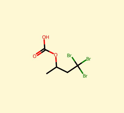 CC(CC(Br)(Br)Br)OC(=O)O